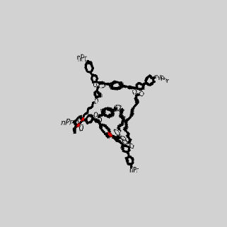 C=CC(=O)OCCCCCCOc1ccc(C(=O)OC2(C#Cc3ccc(C#CC4(OC(=O)CCCCCCCCCCC(=O)OC5(C#Cc6ccc(C#CC7(OC(=O)c8ccc(OCCCCCCOC(=O)C=C)cc8)CCC(C8CCC(CCC)CC8)CC7)cc6)CCC(C6CCC(CCC)CC6)CC5)CCC(C5CCC(CCC)CC5)CC4)cc3)CCC(C3CCC(CCC)CC3)CC2)cc1